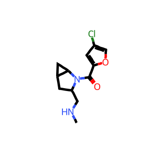 CNCC1CC2CC2N1C(=O)c1cc(Cl)co1